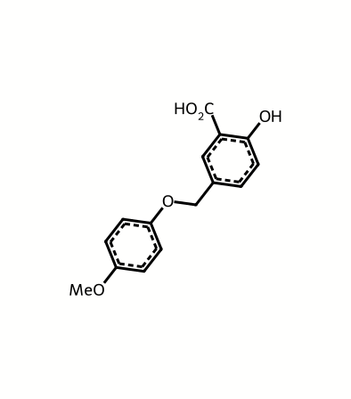 COc1ccc(OCc2ccc(O)c(C(=O)O)c2)cc1